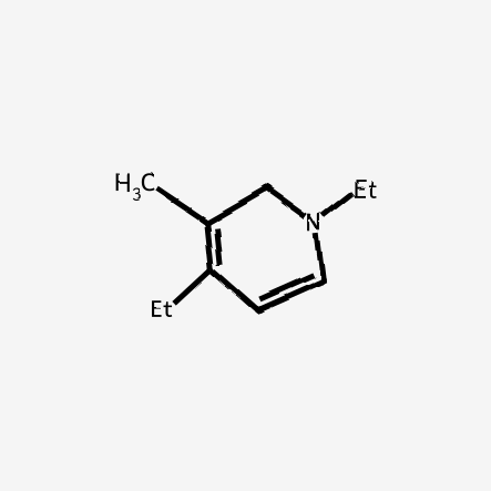 CCC1=C(C)CN(CC)C=C1